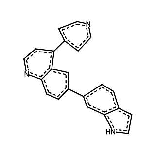 c1cc(-c2ccnc3ccc(-c4ccc5cc[nH]c5c4)cc23)ccn1